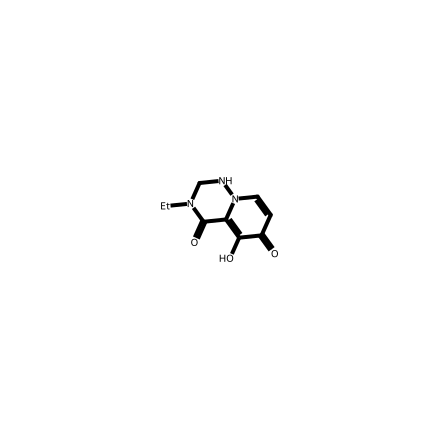 CCN1CNn2ccc(=O)c(O)c2C1=O